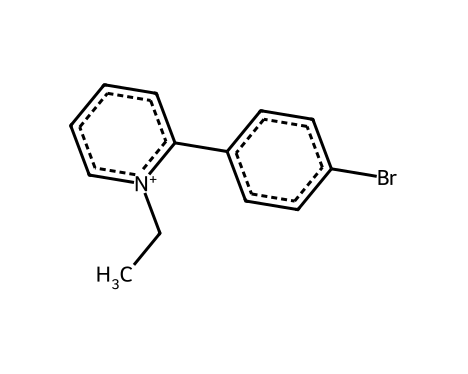 CC[n+]1ccccc1-c1ccc(Br)cc1